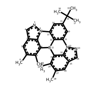 Cc1cc2cnn3c2c(c1C)B1c2c-3cc(C(C)(C)C)cc2-n2ncc3cc(C)c(C)c1c32